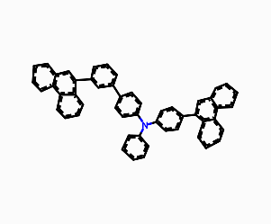 c1ccc(N(c2ccc(-c3cccc(-c4cc5ccccc5c5ccccc45)c3)cc2)c2ccc(-c3cc4ccccc4c4ccccc34)cc2)cc1